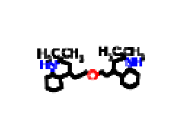 CC1(C)CC(CCOCCC2CC(C)(C)NC3CCCCC23)C2CCCCC2N1